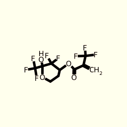 C=C(C(=O)OC1CCOC(O)(C(F)(F)F)C1(F)F)C(F)(F)F